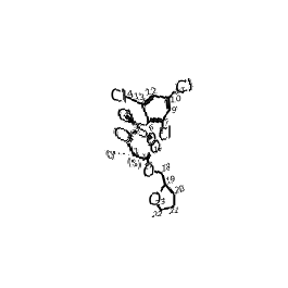 C[C@H](OS(=O)(=O)c1c(Cl)cc(Cl)cc1Cl)C(=O)OCC1CCCO1